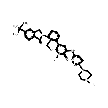 CN1CCN(c2ccc(Nc3cc(-c4cccc(N5Cc6cc(C(C)(C)C)ccc6C5=O)c4CO)cn(C)c3=O)nn2)CC1